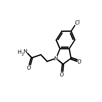 NC(=O)CCN1C(=O)C(=O)c2cc(Cl)ccc21